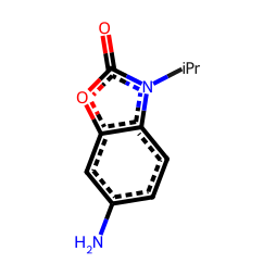 CC(C)n1c(=O)oc2cc(N)ccc21